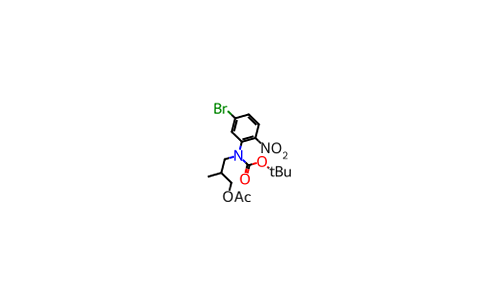 CC(=O)OCC(C)CN(C(=O)OC(C)(C)C)c1cc(Br)ccc1[N+](=O)[O-]